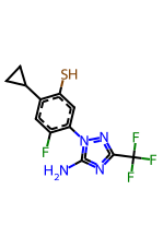 Nc1nc(C(F)(F)F)nn1-c1cc(S)c(C2CC2)cc1F